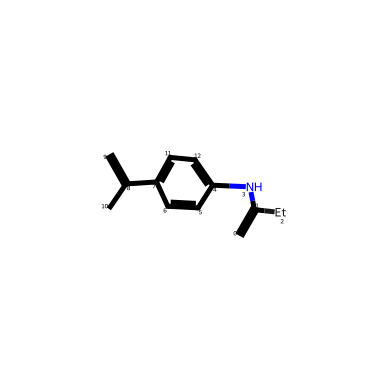 C=C(CC)Nc1ccc(C(=C)C)cc1